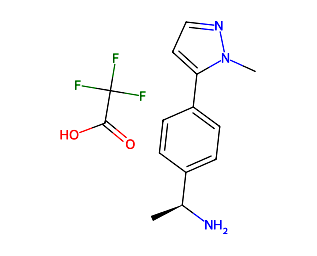 C[C@H](N)c1ccc(-c2ccnn2C)cc1.O=C(O)C(F)(F)F